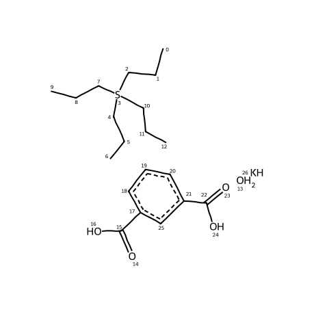 CCCS(CCC)(CCC)CCC.O.O=C(O)c1cccc(C(=O)O)c1.[KH]